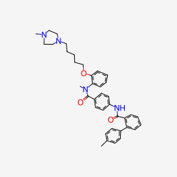 Cc1ccc(-c2ccccc2C(=O)Nc2ccc(C(=O)N(C)c3ccccc3OCCCCCN3CCN(C)CC3)cc2)cc1